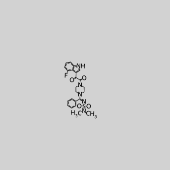 CN(C)S(=O)(=O)/N=C(\c1ccccc1)N1CCN(C(=O)C(=O)c2c[nH]c3cccc(F)c23)CC1